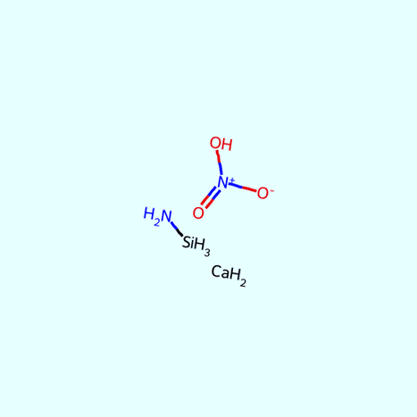 N[SiH3].O=[N+]([O-])O.[CaH2]